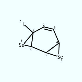 IC12C=CC3[Se]C3C1[Se]2